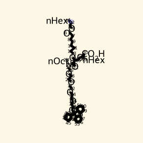 CCCCCC/C=C\COC(=O)CCCCCCCOC(COC(CCCCCC)C(=O)O)C(=O)N(CCCCCCCC)CCOCCOCCOCCOCCOC(c1ccccc1)(c1ccccc1)c1ccccc1